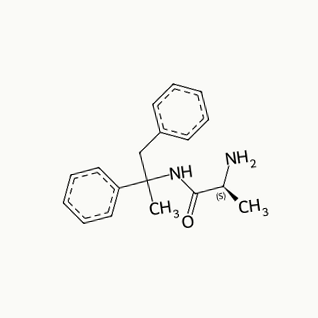 C[C@H](N)C(=O)NC(C)(Cc1ccccc1)c1ccccc1